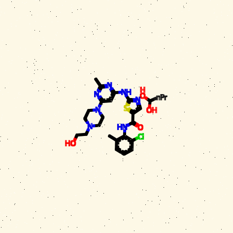 CCCC(O)O.Cc1nc(Nc2ncc(C(=O)Nc3c(C)cccc3Cl)s2)cc(N2CCN(CCO)CC2)n1